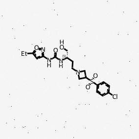 CCc1cc(NC(=O)N[C@H](CO)CCN2CC(S(=O)(=O)c3ccc(Cl)cc3)C2)no1